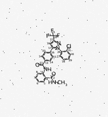 CNC(=O)c1ccccc1NC(=O)c1ccc(-c2cc(C(F)(F)F)nn2-c2ccccc2Cl)cc1